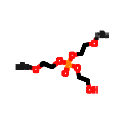 CCCCOCCOP(=O)(OCCO)OCCOCCCC